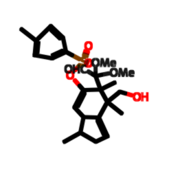 COC(C=O)(OC)C1(C)C(OS(=O)(=O)c2ccc(C)cc2)=CC2C(=CCC2C)C1(C)CO